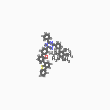 Bc1c(B)c(B)c(-c2cccc(-c3nc(-c4ccccc4)nc(-c4ccc5c(c4)oc4c(-c6cccc7c6sc6ccccc67)cccc45)n3)c2)c(B)c1B